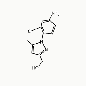 Cc1cc(CO)nn1-c1ccc(N)cc1Cl